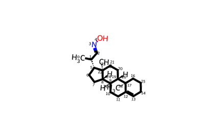 CC(C=NO)[C@H]1CC[C@H]2[C@@H]3CCC4=CCCC[C@]4(C)[C@H]3CC[C@]12C